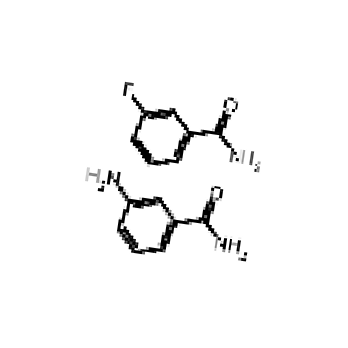 NC(=O)c1cccc(F)c1.NC(=O)c1cccc(N)c1